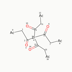 CC(=O)C[C](=O)[Zr]([C](=O)CC(C)=O)([C](=O)CC(C)=O)[C](=O)CC(C)=O